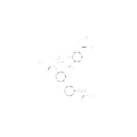 C=C(OC)c1ccc(N[C@@H]2C[C@H](C)N(C(C)=O)c3ccc(-c4cccc(NC(C)=O)c4)cc32)c(C)c1